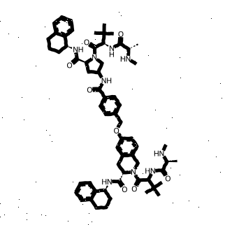 CN[C@@H](C)C(=O)NC(C(=O)N1Cc2ccc(OCc3ccc(C(=O)NC4C[C@@H](C(=O)N[C@@H]5CCCc6ccccc65)N(C(=O)[C@@H](NC(=O)[C@H](C)NC)C(C)(C)C)C4)cc3)cc2C[C@H]1C(=O)N[C@@H]1CCCc2ccccc21)C(C)(C)C